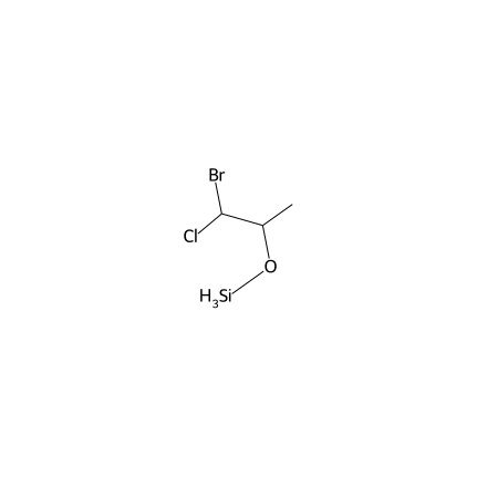 CC(O[SiH3])C(Cl)Br